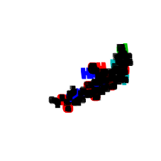 CCOC(=O)N1CCN(CCS(=O)(=O)N2CCN(S(=O)(=O)c3cc(F)c(Oc4ccc(Cl)cc4)c(F)c3)[C@@H](C(=O)NO)C2)CC1